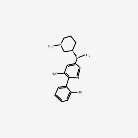 Cc1cc(N(C)[C@@H]2CCCN(C)C2)nnc1-c1ccccc1O